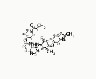 C=CC(=O)N1CCC(Oc2ccc3ncnc(Nc4cc(C)c(Oc5ccc6cn(C)nc6c5)cc4F)c3n2)CC1